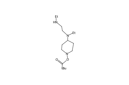 CCNCCN(CC)C1CCN(OC(=O)C(C)(C)C)CC1